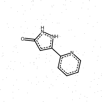 O=c1cc(-c2ccccn2)[nH][nH]1